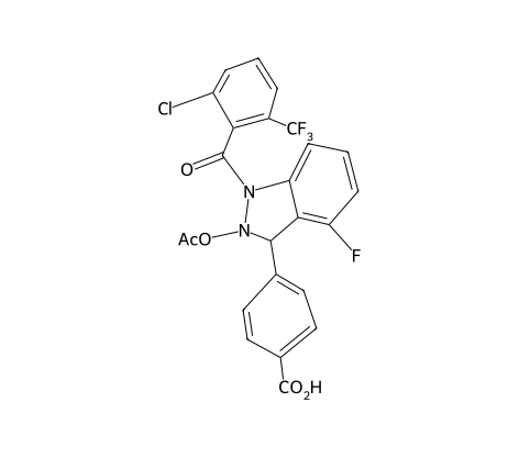 CC(=O)ON1C(c2ccc(C(=O)O)cc2)c2c(F)cccc2N1C(=O)c1c(Cl)cccc1C(F)(F)F